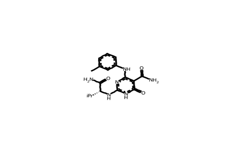 Cc1cccc(Nc2nc(N[C@@H](C(N)=O)C(C)C)[nH]c(=O)c2C(N)=O)c1